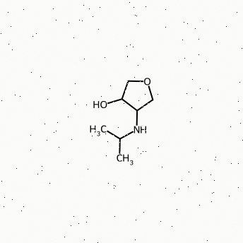 CC(C)NC1COCC1O